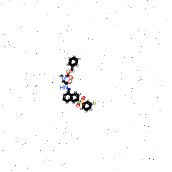 CN(CC(=O)NCC1CCCc2cc(S(=O)(=O)c3cccc(F)c3)ccc21)C(=O)OCc1ccccc1